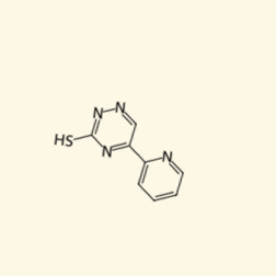 Sc1nncc(-c2ccccn2)n1